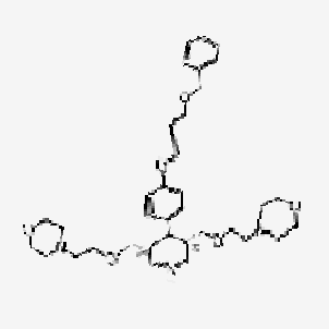 c1ccc(COCCCOc2ccc(C3[C@@H](COCCN4CCOCC4)CNC[C@H]3COCCN3CCOCC3)cc2)cc1